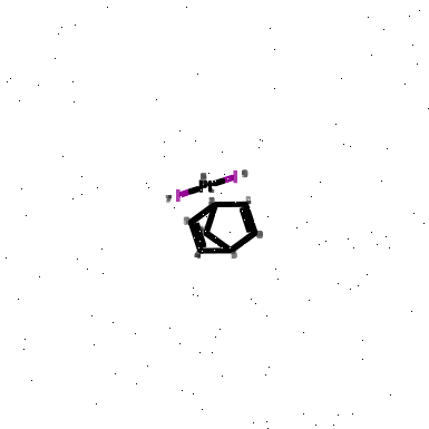 C1=CC2C=CC1C2.[I][Pt][I]